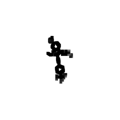 CCn1c(C#Cc2ccc(C(F)(F)F)cc2)c(N)c2ccc(OC)cc21